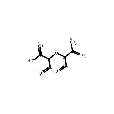 C=CC(OC(C=C)C(=C)C)C(=C)C